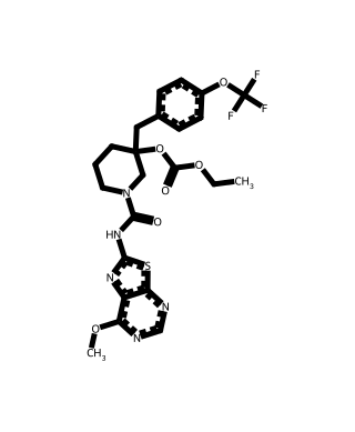 CCOC(=O)OC1(Cc2ccc(OC(F)(F)F)cc2)CCCN(C(=O)Nc2nc3c(OC)ncnc3s2)C1